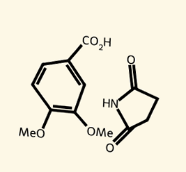 COc1ccc(C(=O)O)cc1OC.O=C1CCC(=O)N1